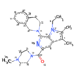 CCn1c(C)c(C)c2cc(C(=O)N3CCN(C)CC3)nc(N3CCc4ccccc4C3)c21